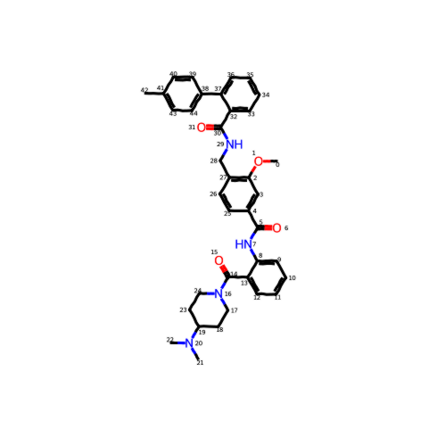 COc1cc(C(=O)Nc2ccccc2C(=O)N2CCC(N(C)C)CC2)ccc1CNC(=O)c1ccccc1-c1ccc(C)cc1